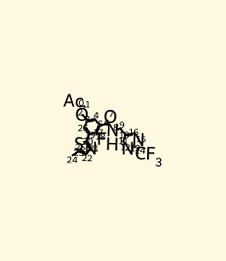 CC(=O)COc1cc(C(=O)NCc2cnc(C(F)(F)F)nc2)c(F)c(-c2ncc(C)s2)c1